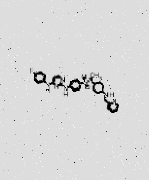 CN(C1CCC(NCc2ccccn2)CC1)S(=O)(=O)c1ccc(Nc2nccc(Nc3ccc(F)cc3)n2)cc1